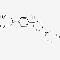 [2H]C1(c2ccc(N(CC)CC)cc2)C=CC(=[N+](CC)CC)C=C1